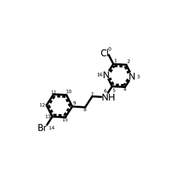 Clc1cncc(NCCc2cccc(Br)c2)n1